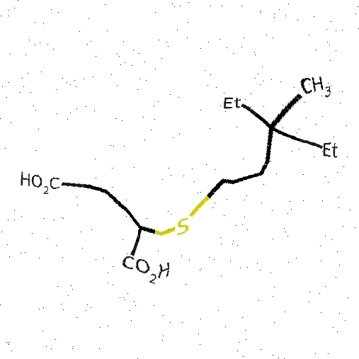 CCC(C)(CC)CCSC(CC(=O)O)C(=O)O